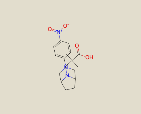 CC(C)(CN1C2CCC1CN(c1ccc([N+](=O)[O-])cc1)C2)C(=O)O